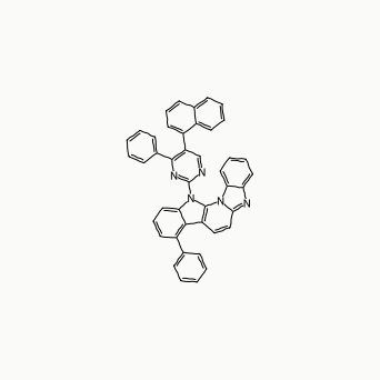 c1ccc(-c2nc(-n3c4cccc(-c5ccccc5)c4c4ccc5nc6ccccc6n5c43)ncc2-c2cccc3ccccc23)cc1